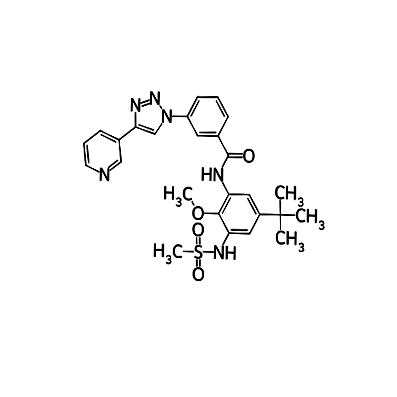 COc1c(NC(=O)c2cccc(-n3cc(-c4cccnc4)nn3)c2)cc(C(C)(C)C)cc1NS(C)(=O)=O